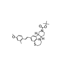 COc1ccc(/C=C/c2cc3c4c(c2)[C@@H]2CN(C(=O)OC(C)(C)C)CC[C@@H]2N4CCCS3)c(C)c1